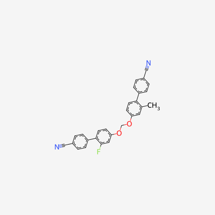 Cc1cc(OCOc2ccc(-c3ccc(C#N)cc3)c(F)c2)ccc1-c1ccc(C#N)cc1